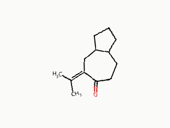 CC(C)=C1CC2CCCC2CCC1=O